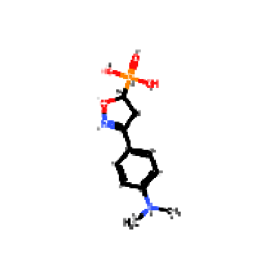 CN(C)c1ccc(C2=NOC(P(=O)(O)O)C2)cc1